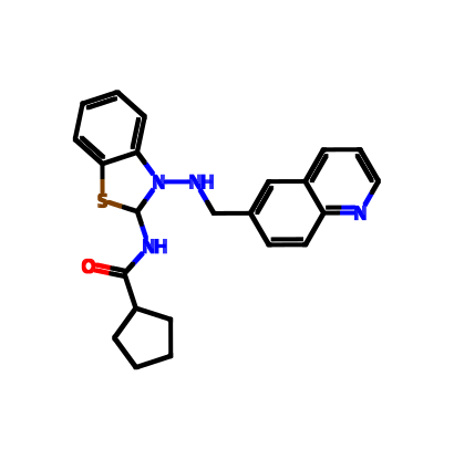 O=C(NC1Sc2ccccc2N1NCc1ccc2ncccc2c1)C1CCCC1